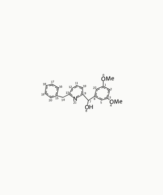 COc1cc(OC)cc(C(O)c2cccc(Cc3ccccc3)n2)c1